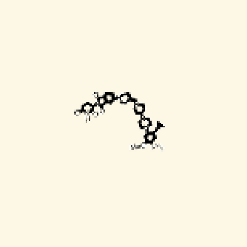 COc1cc(N2CCN(C3CCN(C=C4CCN(c5ccc6c(c5)C(=O)N(C5CCC(=O)NC5=O)C6=O)CC4)CC3)CC2)c(C2CC2)cc1N